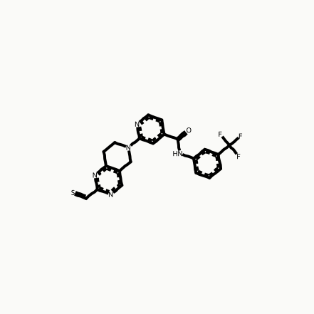 O=C(Nc1cccc(C(F)(F)F)c1)c1ccnc(N2CCc3nc(C=S)ncc3C2)c1